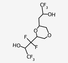 OC(CC1COCC(C(F)(F)C(O)C(F)(F)F)O1)C(F)(F)F